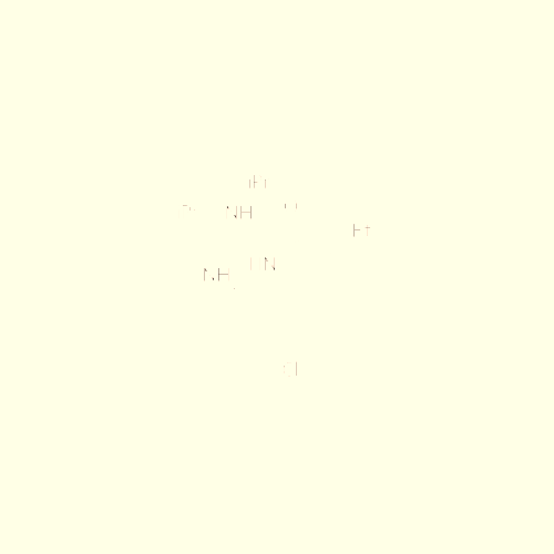 CC(C)NC(C)C.CCC1C(=O)NC(c2c(N)cccc2Cl)c2ccccc21